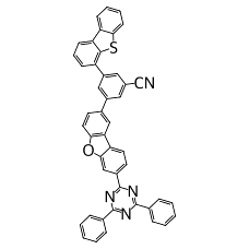 N#Cc1cc(-c2ccc3oc4cc(-c5nc(-c6ccccc6)nc(-c6ccccc6)n5)ccc4c3c2)cc(-c2cccc3c2sc2ccccc23)c1